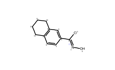 O/N=C(\Cl)c1ccc2c(c1)CCCC2